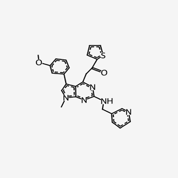 COc1cccc(-c2cn(C)c3nc(NCc4cccnc4)nc(CC(=O)c4cccs4)c23)c1